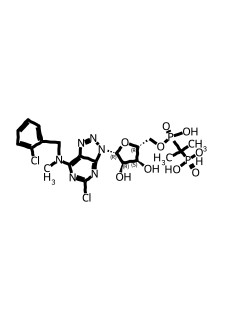 CN(Cc1ccccc1Cl)c1nc(Cl)nc2c1nnn2[C@@H]1O[C@H](COP(=O)(O)C(C)(C)P(=O)(O)O)[C@@H](O)[C@H]1O